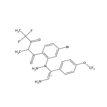 CC(C(=O)c1ccc(Br)cc1N(N)/C(=C\N)c1ccc(OC(F)(F)F)cc1)C(=O)C(C)(F)F